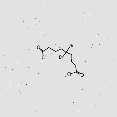 O=C(Cl)CCCC(Br)(Br)CCCC(=O)Cl